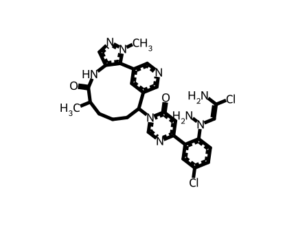 CC1CCCC(n2cnc(-c3cc(Cl)ccc3N(N)/C=C(\N)Cl)cc2=O)c2cncc(c2)-c2c(cnn2C)NC1=O